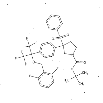 CC(C)(C)OC(=O)N1CCC(c2ccc(C(OCc3c(F)cccc3F)(C(F)(F)F)C(F)(F)F)cc2)(S(=O)(=O)c2ccccc2)C1